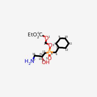 CCOC(=O)OCOP(=O)(CC1CCCCC1)C[C@@H](O)CN